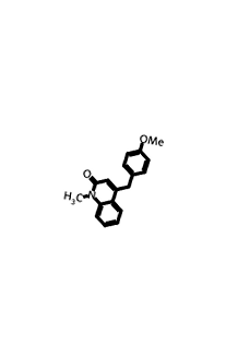 COc1ccc(Cc2cc(=O)n(C)c3ccccc23)cc1